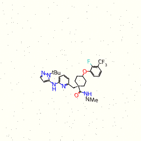 CNNC(=O)[C@]1(Cc2cccc(Nc3ccnn3C(C)(C)C)n2)CC[C@@H](Oc2cccc(C(F)(F)F)c2F)CC1